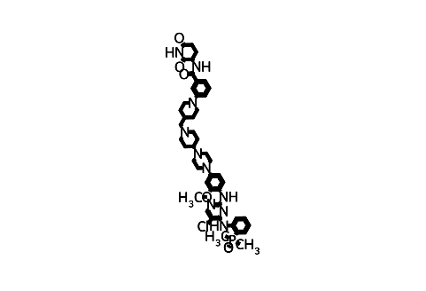 COc1cc(N2CCN(C3CCN(CC4CCN(c5cccc(C(=O)NC6CCC(=O)NC6=O)c5)CC4)CC3)CC2)ccc1Nc1ncc(Cl)c(Nc2ccccc2P(C)(C)=O)n1